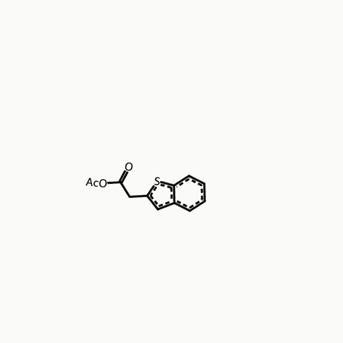 CC(=O)OC(=O)Cc1cc2ccccc2s1